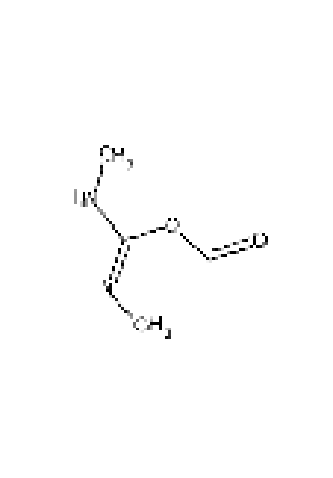 C/N=C(/NC)OC=O